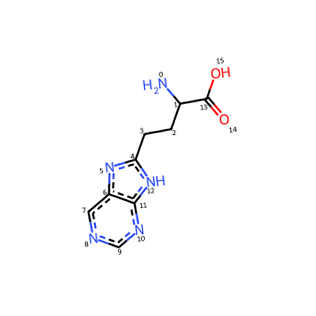 NC(CCc1nc2cncnc2[nH]1)C(=O)O